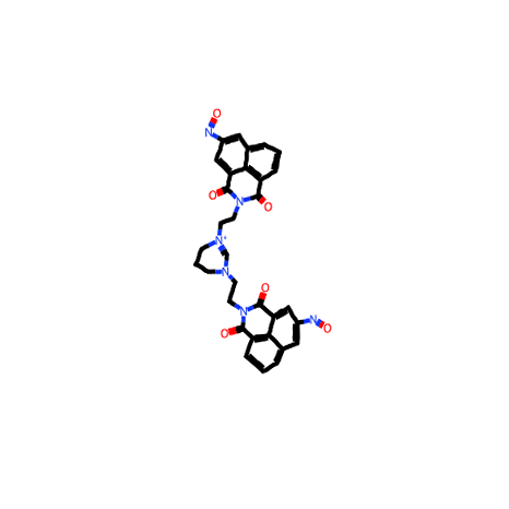 O=Nc1cc2c3c(cccc3c1)C(=O)N(CCN1C=[N+](CCN3C(=O)c4cccc5cc(N=O)cc(c45)C3=O)CCC1)C2=O